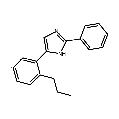 CCCc1cc[c]cc1-c1cnc(-c2ccccc2)[nH]1